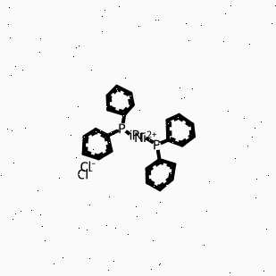 CC(C)P(c1ccccc1)c1ccccc1.[Cl-].[Cl-].[Ni+2][P](c1ccccc1)c1ccccc1